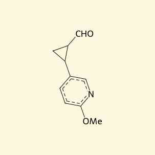 COc1ccc(C2CC2C=O)cn1